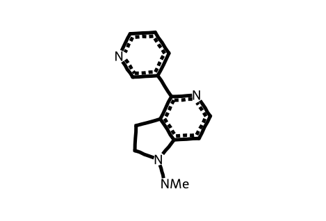 CNN1CCc2c1ccnc2-c1cccnc1